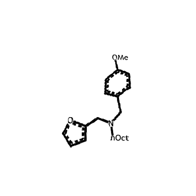 CCCCCCCCN(Cc1ccc(OC)cc1)Cc1ccco1